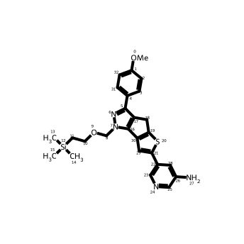 COc1ccc(-c2nn(COCC[Si](C)(C)C)c3c2Cc2sc(-c4cncc(N)c4)cc2-3)cc1